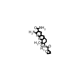 CC1(C)c2nc3nc(N)c(C(N)=O)cc3cc2CCC1NC(=O)c1ccco1